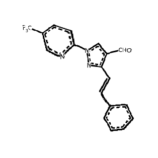 O=Cc1cn(-c2ccc(C(F)(F)F)cn2)nc1C=Cc1ccccc1